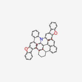 c1ccc(N(c2ccc3oc4ccccc4c3c2)c2ccccc2-c2cccc3cccc(C4CCCCC4)c23)c(-c2ccc3c(c2)oc2ccccc23)c1